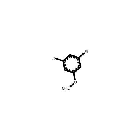 CCc1cc(CC)cc(OC=O)c1